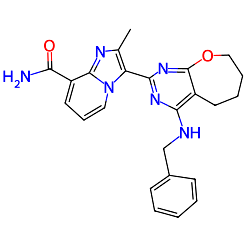 Cc1nc2c(C(N)=O)cccn2c1-c1nc(NCc2ccccc2)c2c(n1)OCCCC2